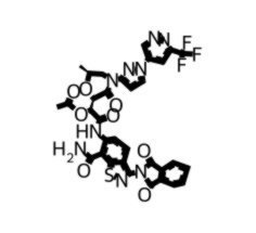 CC(=O)OC(C(=O)Nc1ccc2c(N3C(=O)c4ccccc4C3=O)nsc2c1C(N)=O)[C@H]1O[C@@H](C)CN(c2ccn(-c3cnnc(C(F)(F)F)c3)n2)C1=O